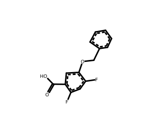 O=C(O)c1cc(OCc2ccccc2)c(F)cc1F